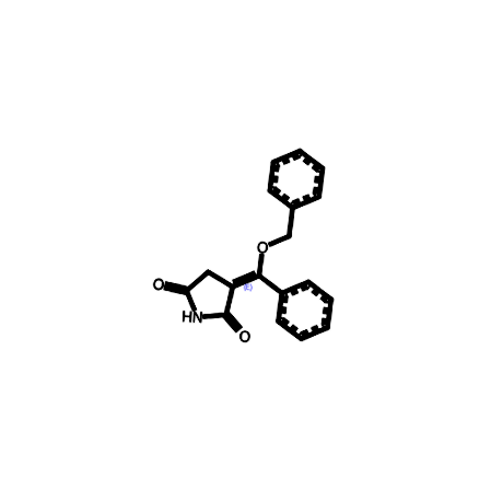 O=C1C/C(=C(\OCc2ccccc2)c2ccccc2)C(=O)N1